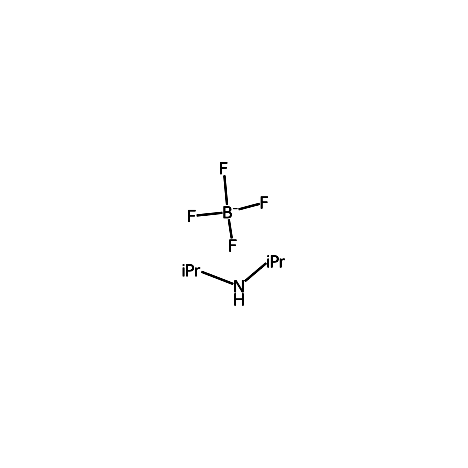 CC(C)NC(C)C.F[B-](F)(F)F